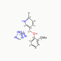 C#N.C#N.C=NN.COc1ccccc1OCc1ccc(C)nc1